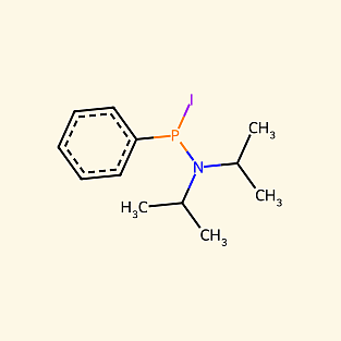 CC(C)N(C(C)C)P(I)c1ccccc1